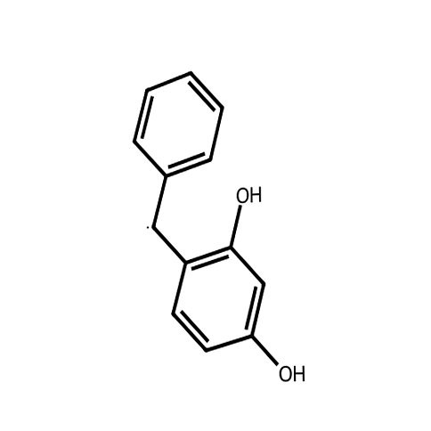 Oc1ccc([CH]c2ccccc2)c(O)c1